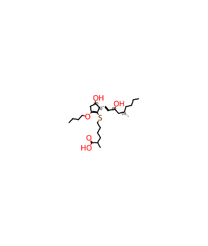 CCCCOC1=C(SCCCCC(C)C(=O)O)[C@@H](C=C[C@@H](O)C[C@@H](C)CCCC)[C@H](O)C1